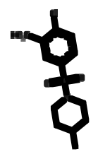 CC1CCN(S(=O)(=O)c2ccc(Cl)c(C(=O)O)c2)CC1